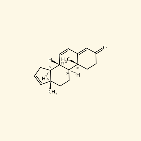 C[C@@]12C=CC[C@H]1[C@@H]1C=CC3=CC(=O)CC[C@]3(C)[C@H]1CC2